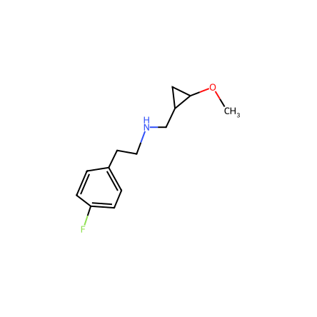 COC1CC1CNCCc1ccc(F)cc1